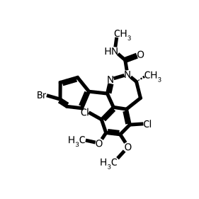 CNC(=O)N1N=C(c2ccc(Br)cc2)c2c(Cl)c(OC)c(OC)c(Cl)c2C[C@H]1C